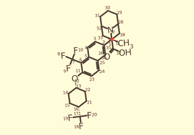 C[C@@H](c1ccc2c(C(F)(F)F)c(O[C@H]3CC[C@@H](C(F)(F)F)CC3)ccc2c1)N1C2CCCC1CC(C(=O)O)C2